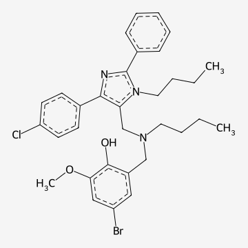 CCCCN(Cc1cc(Br)cc(OC)c1O)Cc1c(-c2ccc(Cl)cc2)nc(-c2ccccc2)n1CCCC